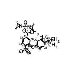 CC(OP(=O)(N1CC1)N1CC1)c1ccc([N+](=O)[O-])c(Oc2ccc(C(C)(C)C)cc2)c1